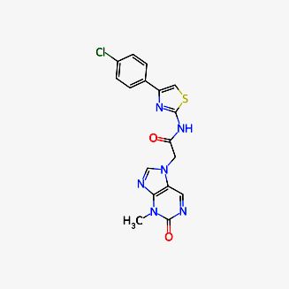 Cn1c(=O)ncc2c1ncn2CC(=O)Nc1nc(-c2ccc(Cl)cc2)cs1